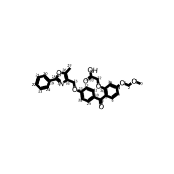 COCOc1ccc(C(=O)c2ccc(OCc3nc(-c4ccccc4)oc3C)cc2)c(OCC(=O)O)c1